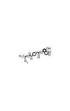 CC(C)COC(=O)NC1CCN(CC(O)COc2ccc(O)c3c2CCC(=O)N3)CC1